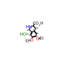 CCOc1cc2c(cc1OCC)CC(C(=O)O)NC2.Cl